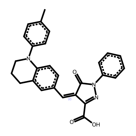 Cc1ccc(N2CCCc3cc(/C=C4\C(=O)N(c5ccccc5)N=C4C(=O)O)ccc32)cc1